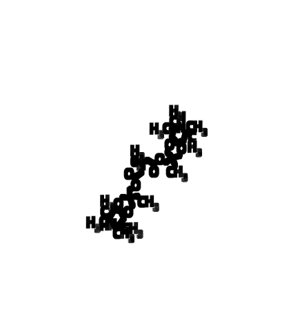 CCC1(COC(=O)CN(C)CC(=O)OCC2(CC)COC3(CC(C)(C)NC(C)(C)C3)OC2)COC2(CC(C)(C)NC(C)(C)C2)OC1